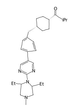 CCC1CN(C)CC(CC)N1c1ncc(-c2ccc(C[C@H]3CC[C@@H](C(=O)C(C)C)CC3)cc2)cn1